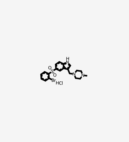 CN1CCN(Cc2c[nH]c3ccc(S(=O)(=O)c4ccccc4Br)cc23)CC1.Cl